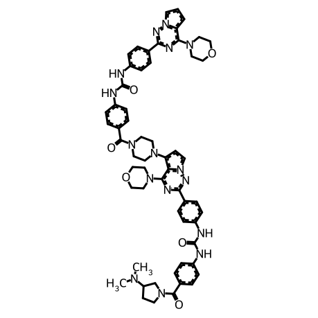 CN(C)C1CCN(C(=O)c2ccc(NC(=O)Nc3ccc(-c4nc(N5CCOCC5)c5c(N6CCN(C(=O)c7ccc(NC(=O)Nc8ccc(-c9nc(N%10CCOCC%10)c%10cccn%10n9)cc8)cc7)CC6)ccn5n4)cc3)cc2)C1